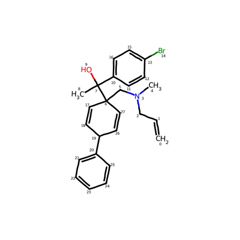 C=CCN(C)CC1(C(C)(O)c2ccc(Br)cc2)C=CC(c2ccccc2)C=C1